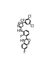 O=C(Nc1ccc(F)cc1F)c1cccc(NC2=NOC(c3cc(Cl)cc(Cl)c3)(C(F)(F)F)C2)c1F